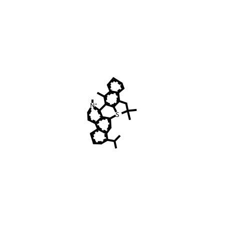 Cc1c2c(c(CC(C)(C)C)c3ccccc13)Sc1cc3c(C(C)C)cccc3c3cc[n+](C)c-2c13